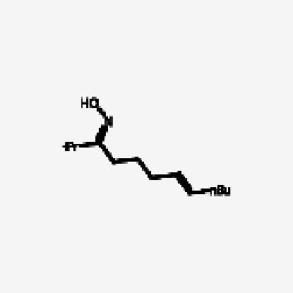 CCCCC=CCCCC(=NO)[C](C)C